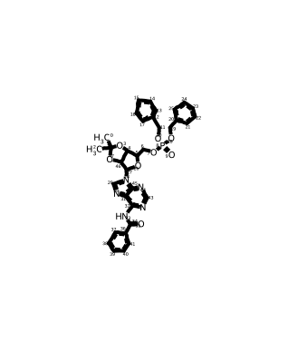 CC1(C)OC2C(COP(=O)(OCc3ccccc3)OCc3ccccc3)OC(n3cnc4c(NC(=O)c5ccccc5)ncnc43)C2O1